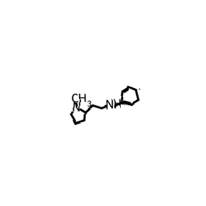 CN1CCCC1CCNCC1=CC[CH]C=C1